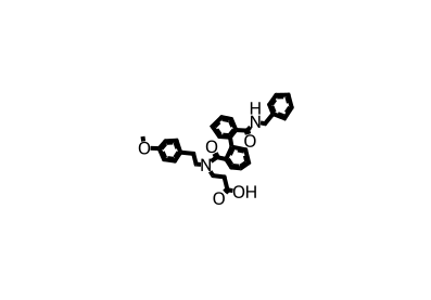 COc1ccc(CCN(CCC(=O)O)C(=O)c2ccccc2-c2ccccc2C(=O)NCc2ccccc2)cc1